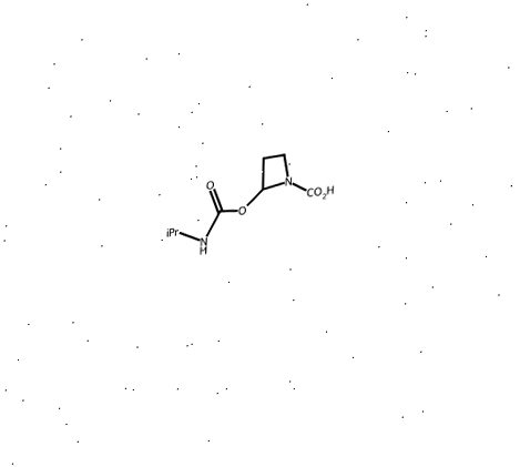 CC(C)NC(=O)OC1CCN1C(=O)O